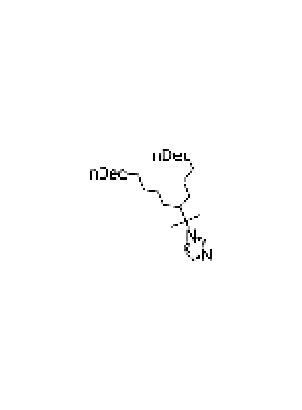 CCCCCCCCCCCCCCC(CCCCCCCCCCCCC)C(C)(C)n1ccnc1